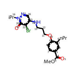 CCCc1cc(C(=O)OC)ccc1OCCCNc1cnn(C(C)C)c(=O)c1Br